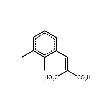 Cc1cccc(C=C(C(=O)O)C(=O)O)c1C